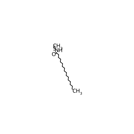 CCCCCCCCCCCCCCCCCC(=O)NSC